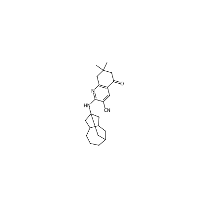 CC1(C)CC(=O)c2cc(C#N)c(NC34CC5CCCC(C3)C(C5)C4)nc2C1